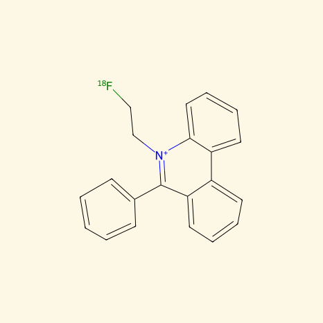 [18F]CC[n+]1c(-c2ccccc2)c2ccccc2c2ccccc21